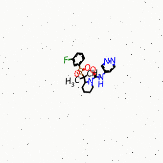 CC(C)(C1CCCCN1C(=O)Nc1ccnnc1)S(=O)(=O)c1cccc(F)c1